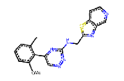 COc1cccc(C)c1-c1cnnc(NCc2nc3cnccc3s2)n1